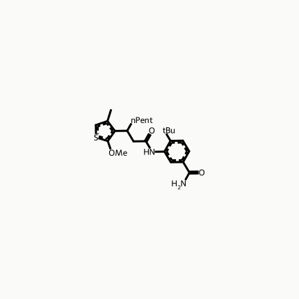 CCCCCC(CC(=O)Nc1cc(C(N)=O)ccc1C(C)(C)C)c1c(C)csc1OC